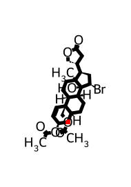 CC(=O)OC[C@]12C=C[C@H](OC(C)=O)C[C@@H]1CC[C@@H]1[C@@H]2CC[C@]2(C)[C@@H]([C@@H]3COC(=O)C3)C[C@H](Br)[C@]12O